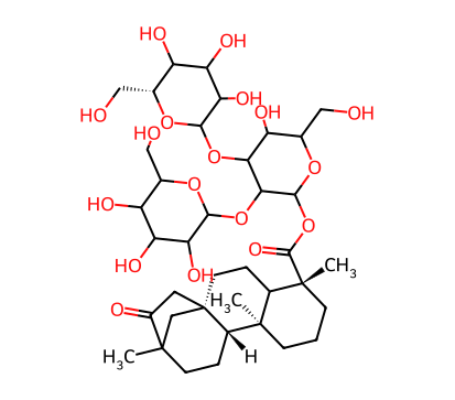 CC12CC[C@@H]3[C@](CCC4[C@](C)(C(=O)OC5OC(CO)C(O)C(OC6O[C@H](CO)C(O)C(O)C6O)C5OC5OC(CO)C(O)C(O)C5O)CCC[C@]43C)(CC1=O)C2